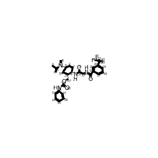 CC(C)N(C)[C@@H]1CC[C@H](NC(=O)CNC(=O)c2cccc(C(F)(F)F)c2)[C@H](COC(=O)Nc2ccccc2)C1